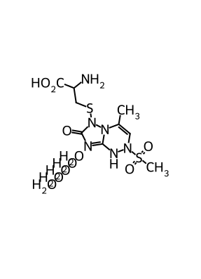 CC1=CN(S(C)(=O)=O)Nc2nc(=O)n(SCC(N)C(=O)O)n21.O.O.O.O.O